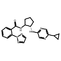 O=C(NC1CCC[C@@H]1Nc1cnc(C2CC2)cn1)c1ccccc1-n1nccn1